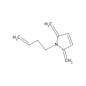 C=CCCn1c(=C)ccc1=C